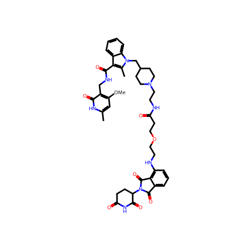 COc1cc(C)[nH]c(=O)c1CNC(=O)c1c(C)n(CC2CCN(CCNC(=O)CCOCCNc3cccc4c3C(=O)N(C3CCC(=O)NC3=O)C4=O)CC2)c2ccccc12